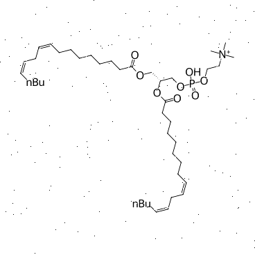 CCCC/C=C\C/C=C\CCCCCCCC(=O)OC[C@H](COP(=O)(O)OCC[N+](C)(C)C)OC(=O)CCCCCCC/C=C\C/C=C\CCCC